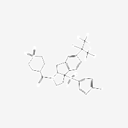 O=C(C1CCS(=O)(=O)CC1)N1CCC2(S(=O)(=O)c3ccc(F)cc3)c3ccc(C(F)(C(F)(F)F)C(F)(F)F)cc3CC12